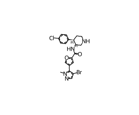 Cn1ncc(Br)c1-c1coc(C(=O)N[C@H]2CNCC[C@@H]2c2ccc(Cl)cc2)c1